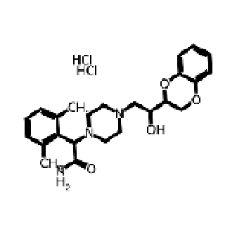 Cc1cccc(C)c1C(C(N)=O)N1CCN(CC(O)C2COc3ccccc3O2)CC1.Cl.Cl